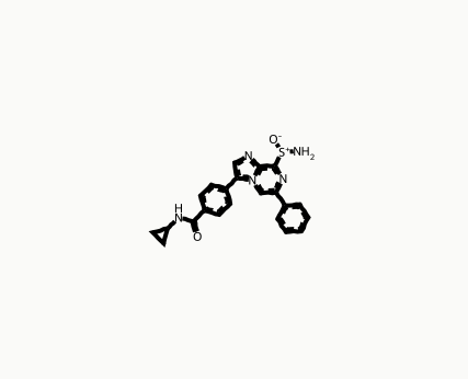 N[S+]([O-])c1nc(-c2ccccc2)cn2c(-c3ccc(C(=O)NC4CC4)cc3)cnc12